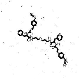 [N-]=[N+]=Nc1ccc(/C=C/C(=O)N/C(=C\c2cccnc2)C(=O)NCCCOCCCNC(=O)/C(=C/c2cccnc2)NC(=O)/C=C/c2ccc(N=[N+]=[N-])cc2)cc1